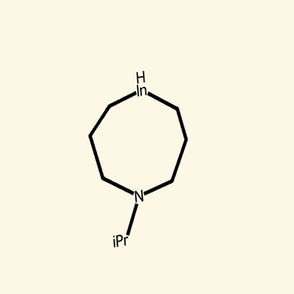 CC(C)N1CC[CH2][InH][CH2]CC1